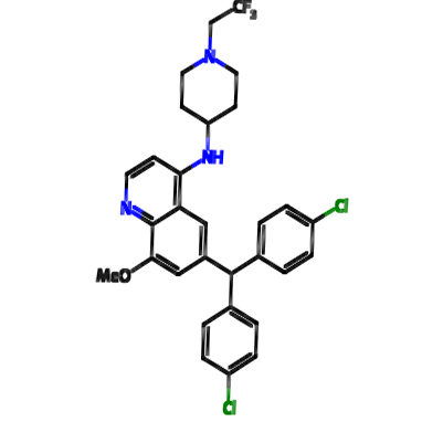 COc1cc(C(c2ccc(Cl)cc2)c2ccc(Cl)cc2)cc2c(NC3CCN(CC(F)(F)F)CC3)ccnc12